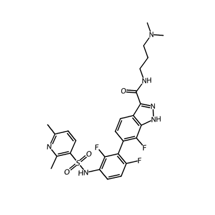 Cc1ccc(S(=O)(=O)Nc2ccc(F)c(-c3ccc4c(C(=O)NCCCN(C)C)n[nH]c4c3F)c2F)c(C)n1